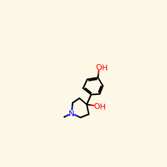 CN1CCC(O)(c2ccc(O)cc2)CC1